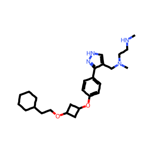 CNCCN(C)Cc1c[nH]nc1-c1ccc(OC2CC(OCCC3CCCCC3)C2)cc1